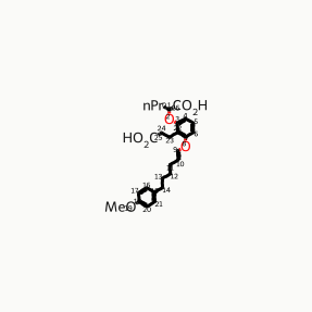 CCCC(Oc1cccc(OC=CCCCCc2ccc(OC)cc2)c1CCC(=O)O)C(=O)O